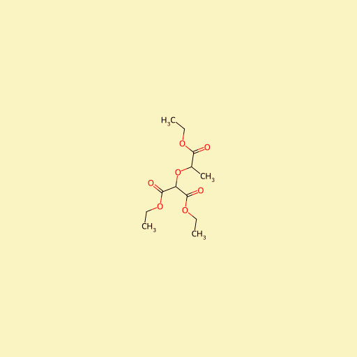 CCOC(=O)C(C)OC(C(=O)OCC)C(=O)OCC